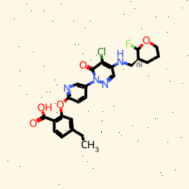 CCc1ccc(C(=O)O)c(Oc2ccc(-n3ncc(NC[C@@H]4CCCOC4F)c(Cl)c3=O)cn2)c1